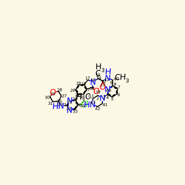 C[C@@H]1CN(c2cccc([C@@H](C)NC(=O)[C@@H](C)N3Cc4ccc(-c5nc(NC6CCOCC6)ncc5Cl)cc4C3=O)n2)CCN1